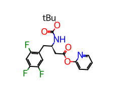 CC(C)(C)OC(=O)N[C@@H](CC(=O)Oc1ccccn1)Cc1cc(F)c(F)cc1F